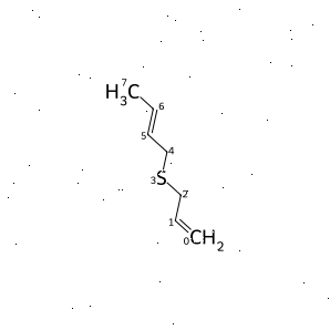 C=CCSC/C=C/C